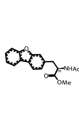 COC(=O)[C@@H](Cc1ccc2c(c1)oc1ccccc12)NC(C)=O